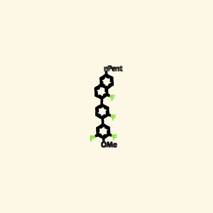 CCCCCc1ccc2c(F)c(-c3ccc(-c4cc(F)c(OC)c(F)c4)c(F)c3)ccc2c1